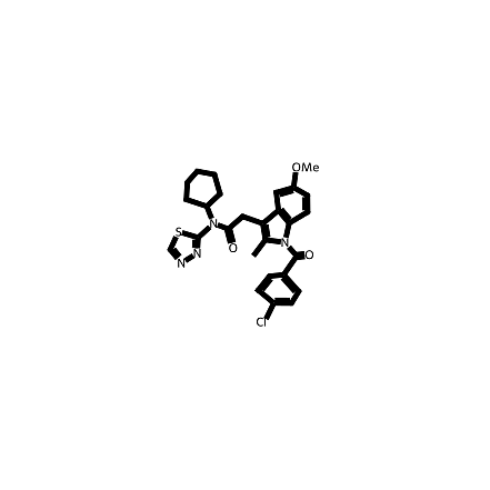 COc1ccc2c(c1)c(CC(=O)N(c1nncs1)C1CCCCC1)c(C)n2C(=O)c1ccc(Cl)cc1